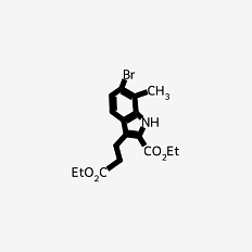 CCOC(=O)CCc1c(C(=O)OCC)[nH]c2c(C)c(Br)ccc12